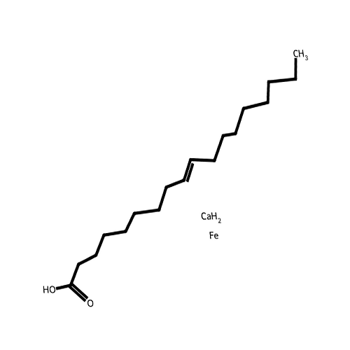 CCCCCCCCC=CCCCCCCCC(=O)O.[CaH2].[Fe]